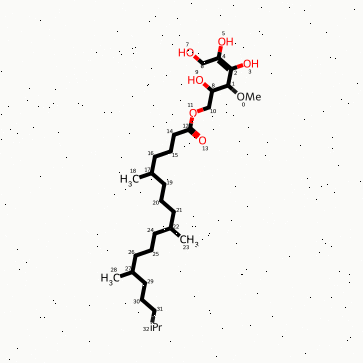 COC(/C(O)=C(/O)CO)C(O)COC(=O)CCCC(C)CCCC(C)CCCC(C)CCCC(C)C